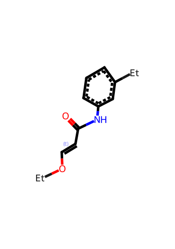 CCO/C=C/C(=O)Nc1cccc(CC)c1